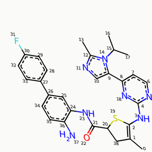 CC1=C(Nc2nccc(-c3cnc(C)n3C(C)C)n2)SC(C(=O)Nc2cc(-c3ccc(F)cc3)ccc2N)C1